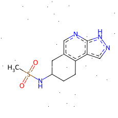 CS(=O)(=O)NC1CCc2c(cnc3[nH]ncc23)C1